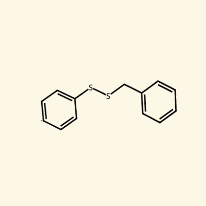 [c]1ccc(SSCc2ccccc2)cc1